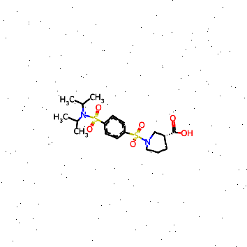 CC(C)N(C(C)C)S(=O)(=O)c1ccc(S(=O)(=O)N2CCC[C@@H](C(=O)O)C2)cc1